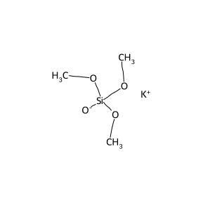 CO[Si]([O-])(OC)OC.[K+]